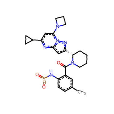 Cc1ccc(N[SH](=O)=O)c(C(=O)N2CCCC[C@H]2c2cc3nc(C4CC4)cc(N4CCC4)n3n2)c1